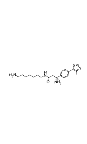 Cc1ncsc1-c1ccc([C@@H](N)CC(=O)NCCCCCCCN)cc1